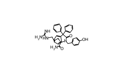 N=C(N)NCCC[C@H](C(N)=O)N(Cc1ccc(O)cc1)C(=O)C(c1ccccc1)(c1ccccc1)c1ccccc1